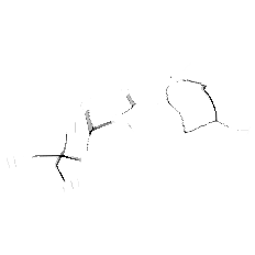 CC(C)(C)OC(=O)OC(=O)[C@H]1CC(O)CN1